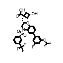 O=C(O)[C@]1(C[C@H]2CN(S(=O)(=O)c3cccc(C(F)(F)F)c3)c3cc(-c4cc(F)cc(OC(F)F)c4)ccc3O2)C[C@@H](O)C1